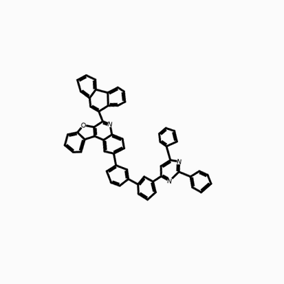 c1ccc(-c2cc(-c3cccc(-c4cccc(-c5ccc6nc(-c7cc8ccccc8c8ccccc78)c7oc8ccccc8c7c6c5)c4)c3)nc(-c3ccccc3)n2)cc1